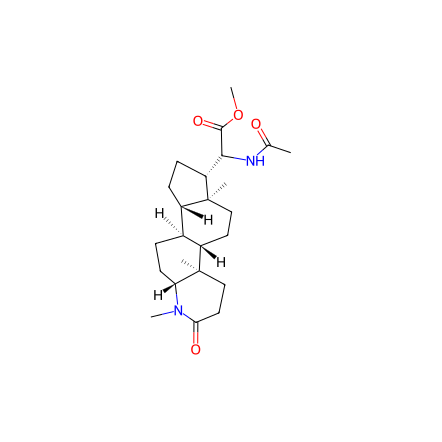 COC(=O)C(NC(C)=O)[C@H]1CC[C@H]2[C@@H]3CC[C@H]4N(C)C(=O)CC[C@]4(C)[C@H]3CC[C@]12C